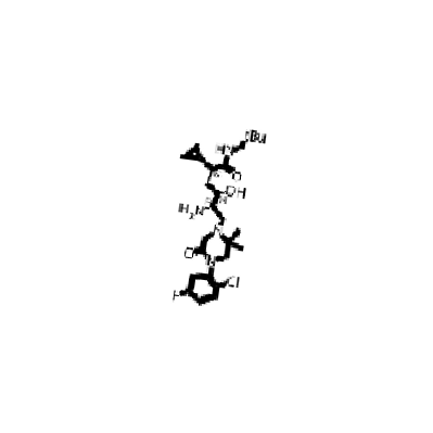 CC(C)(C)CNC(=O)[C@@H](C[C@H](O)[C@@H](N)CN1CC(=O)N(c2cc(F)ccc2Cl)CC1(C)C)C1CC1